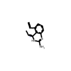 C=Cc1cccc2c1/C(=C\C)NC(N)=N2